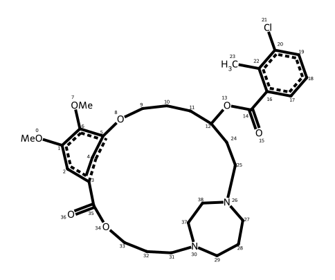 COc1cc2cc(c1OC)OCCCC(OC(=O)c1cccc(Cl)c1C)CCN1CCCN(CCCOC2=O)CC1